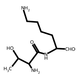 CC(O)C(N)C(=O)NC([C]=O)CCCCN